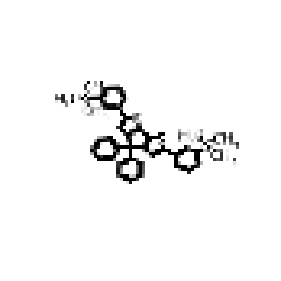 CS(C)(C)c1cccc(-c2cc3c(s2)-c2sc(-c4cccc(S(C)(C)C)c4)cc2C3(c2ccccc2)c2ccccc2)c1